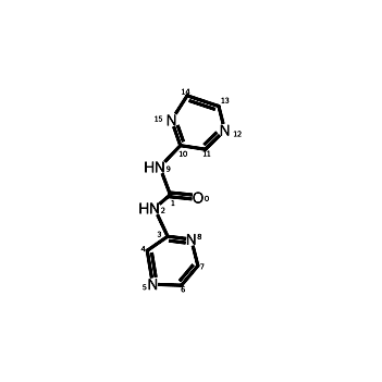 O=C(Nc1cnccn1)Nc1cnccn1